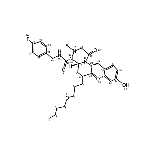 CCCCOCCCC1C[C@H]2N(C(=O)CN(C)N2C(=O)NCc2ccc(F)cc2)[C@@H](Cc2ccc(O)cc2)C1=O